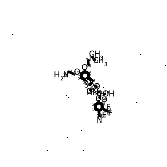 CN(C)CCOc1cc2cc(S(=O)(=O)NCP(=O)(O)Oc3ccc(C#N)c(C(F)(F)F)c3)sc2cc1OCCN